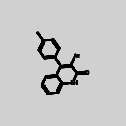 CC(=O)c1c(-c2ccc(C)cc2)c2ccccc2[nH]c1=O